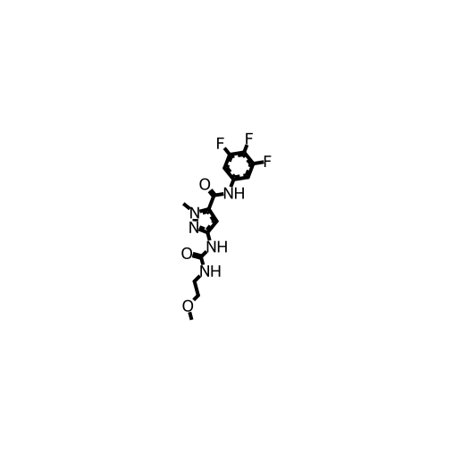 COCCNC(=O)Nc1cc(C(=O)Nc2cc(F)c(F)c(F)c2)n(C)n1